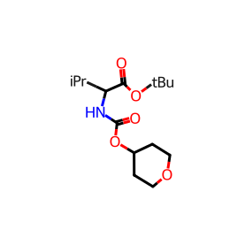 CC(C)C(NC(=O)OC1CCOCC1)C(=O)OC(C)(C)C